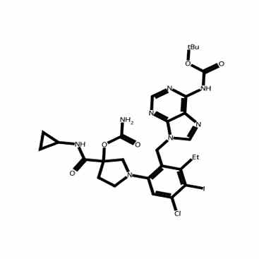 CCc1c(I)c(Cl)cc(N2CCC(OC(N)=O)(C(=O)NC3CC3)C2)c1Cn1cnc2c(NC(=O)OC(C)(C)C)ncnc21